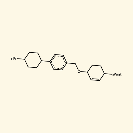 CCCCCC1C=CC(OCc2ccc(C3CCC(CCC)CC3)cc2)CC1